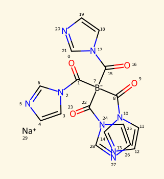 O=C(n1ccnc1)[B-](C(=O)n1ccnc1)(C(=O)n1ccnc1)C(=O)n1ccnc1.[Na+]